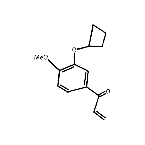 C=CC(=O)c1ccc(OC)c(OC2CCC2)c1